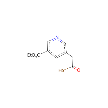 CCOC(=O)c1cncc(CC(=O)S)c1